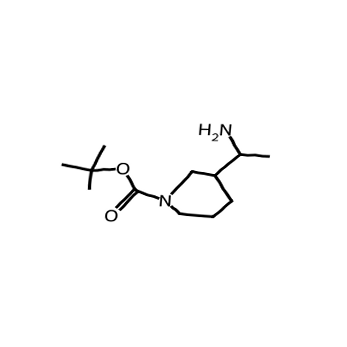 CC(N)C1CCCN(C(=O)OC(C)(C)C)C1